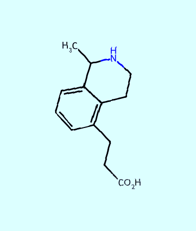 CC1NCCc2c(CCC(=O)O)cccc21